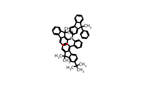 CC(C)(C)c1ccc2c(c1)C(C)(C)c1cccc(-c3ccccc3N(c3ccc4c(c3)C(C)(c3ccccc3)c3ccccc3-4)c3cccc4c3C(C)(C)c3ccccc3-4)c1-2